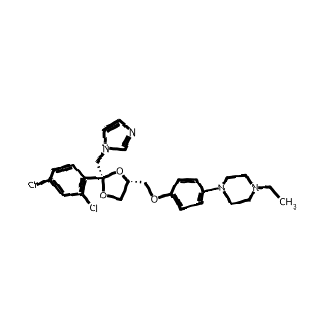 CCN1CCN(c2ccc(OC[C@@H]3CO[C@@](Cn4ccnc4)(c4ccc(Cl)cc4Cl)O3)cc2)CC1